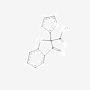 COC(=O)C1(c2ccco2)Nc2ccccc2C1=O